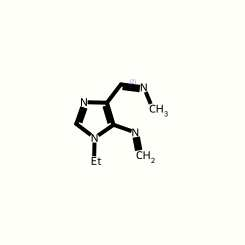 C=Nc1c(/C=N\C)ncn1CC